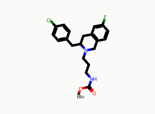 CC(C)(C)OC(=O)NCCCN1Cc2ccc(F)cc2CC1Cc1ccc(Cl)cc1